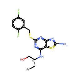 CC(C)C[C@H](CO)Nc1nc(SCc2cc(F)ccc2F)nc2nc(N)sc12